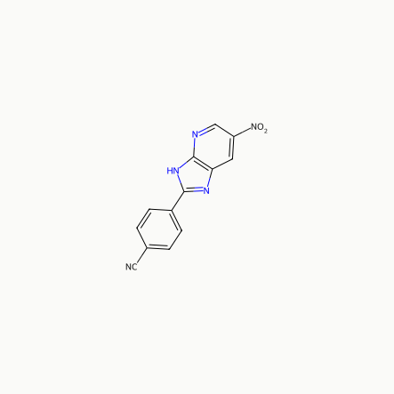 N#Cc1ccc(-c2nc3cc([N+](=O)[O-])cnc3[nH]2)cc1